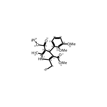 COC(=O)C1=C(CF)NC(C)=C(C(=O)OC(C)C)C1c1cccc(OC)c1OC